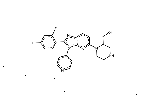 OCC1CNCCN1c1ccc2nc(-c3ccc(F)cc3F)n(-c3ccncc3)c2n1